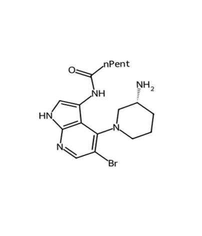 CCCCCC(=O)Nc1c[nH]c2ncc(Br)c(N3CCC[C@@H](N)C3)c12